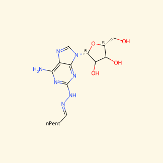 CCCCCC=NNc1nc(N)c2ncn([C@@H]3O[C@H](CO)C(O)C3O)c2n1